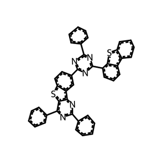 c1ccc(-c2nc(-c3ccc4sc5c(-c6ccccc6)nc(-c6ccccc6)nc5c4c3)nc(-c3cccc4c3sc3ccccc34)n2)cc1